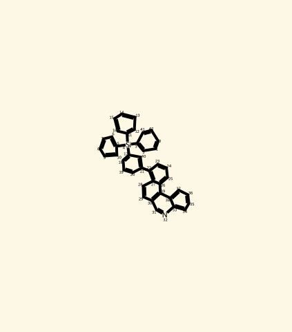 c1ccc([Si](c2ccccc2)(c2ccccc2)c2cccc(-c3cccc4c3ccc3cnc5ccccc5c34)c2)cc1